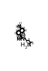 CC(N)CCCNS(=O)(=O)c1cccc2c(N(C)C)cccc12